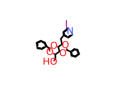 OCC1OC(c2ccccc2)OC2C(Cc3ccnc(I)c3)OC(c3ccccc3)OC12